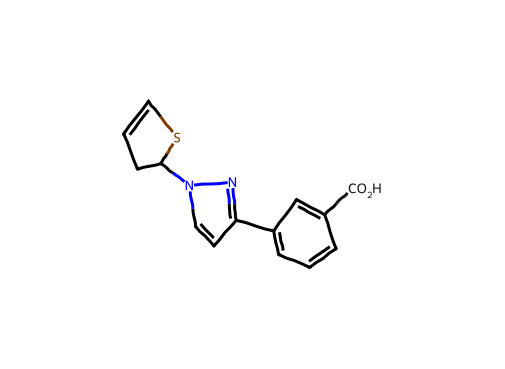 O=C(O)c1cccc(-c2ccn(C3CC=CS3)n2)c1